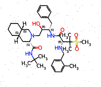 Cc1ccccc1CN[C@H](C(=O)N[C@@H](Cc1ccccc1)[C@H](O)CN1C[C@H]2CCCC[C@H]2C[C@H]1C(=O)NC(C)(C)C)C(C)(C)S(C)(=O)=O